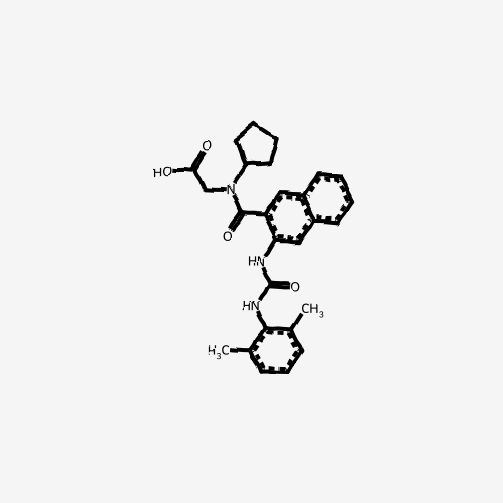 Cc1cccc(C)c1NC(=O)Nc1cc2ccccc2cc1C(=O)N(CC(=O)O)C1CCCC1